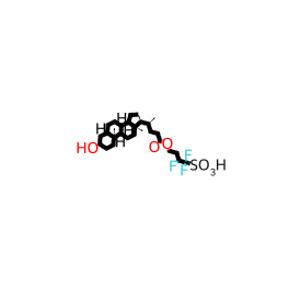 C[C@H](CCC(=O)OCCC(F)C(F)(F)S(=O)(=O)O)[C@H]1CC[C@H]2[C@@H]3CC[C@@H]4C[C@H](O)CC[C@]4(C)[C@H]3CC[C@]12C